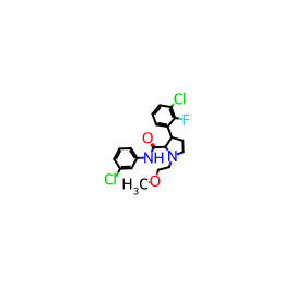 COCCN1CCC(c2cccc(Cl)c2F)C1C(=O)Nc1cccc(Cl)c1